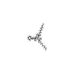 CCCCCCCCOC(=O)CC(CC(=O)OCCCCCCCC)OC(=O)OCc1ccccc1